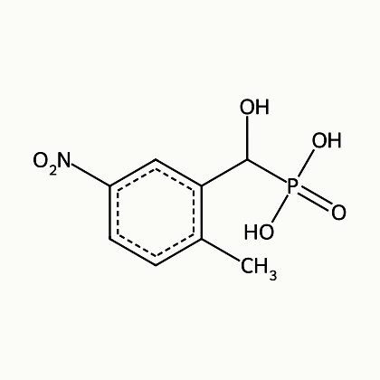 Cc1ccc([N+](=O)[O-])cc1C(O)P(=O)(O)O